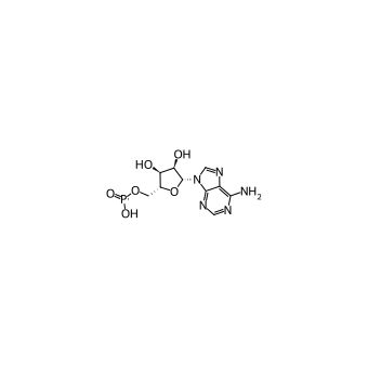 Nc1ncnc2c1ncn2[C@@H]1O[C@H](CO[P](=O)O)[C@@H](O)[C@H]1O